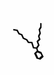 CCCCCCCCCC(CCCCCCCC)c1ccccc1